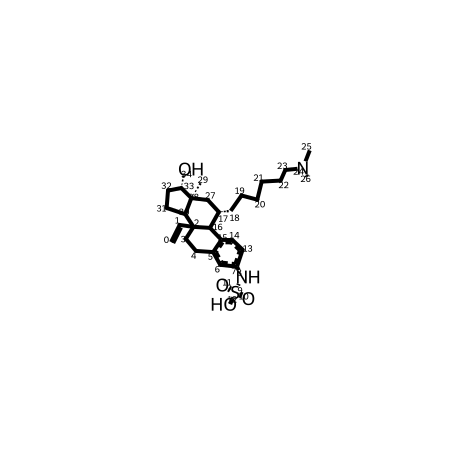 C=CC12CCc3cc(NS(=O)(=O)O)ccc3C1[C@@H](CCCCCCN(C)C)C[C@@]1(C)C2CC[C@@H]1O